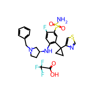 NS(=O)(=O)c1cc(C2(c3cscn3)CC2)c(N[C@H]2CCN(Cc3ccccc3)C2)cc1F.O=C(O)C(F)(F)F